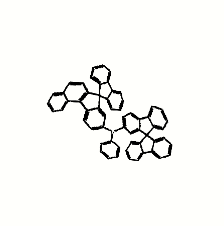 c1ccc(N(c2ccc3c(c2)C2(c4ccccc4-c4ccccc42)c2ccccc2-3)c2ccc3c(c2)C2(c4ccccc4-c4ccccc42)c2ccc4ccccc4c2-3)cc1